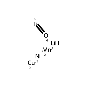 [Cu].[LiH].[Mn].[Ni].[O]=[Ti]